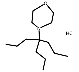 CCCC(CCC)(CCC)N1CCOCC1.Cl